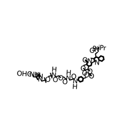 CC(C)N(CCc1c2c(nc3ccccc13)-c1cc3c(c(=O)n1C2)COC(=O)C3OC(=O)OCc1ccc(NC(=O)CNC(=O)COCC(=O)NC(C)(C)COC(C)(C)Cn2cc(CNC=O)nn2)cc1)[S+](C)[O-]